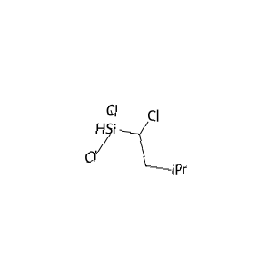 CC(C)CC(Cl)[SiH](Cl)Cl